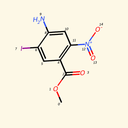 COC(=O)c1cc(I)c(N)cc1[N+](=O)[O-]